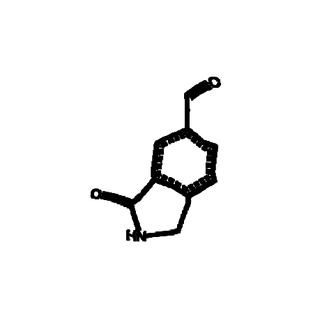 O=Cc1ccc2c(c1)C(=O)NC2